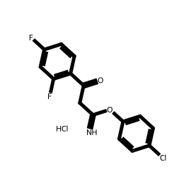 Cl.N=C(CC(=O)c1ccc(F)cc1F)Oc1ccc(Cl)cc1